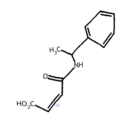 CC(NC(=O)/C=C\C(=O)O)c1ccccc1